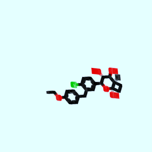 CCOc1ccc(Cc2cc([C@@H]3O[C@]4(O)CC[C@@H]4[C@H](O)[C@H]3O)ccc2Cl)cc1